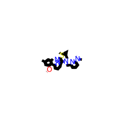 COc1cc(C)cc(C)c1-c1cccc2c(N(Cc3cccc(N(C)C)n3)CC3CC3)c(SC)nn12